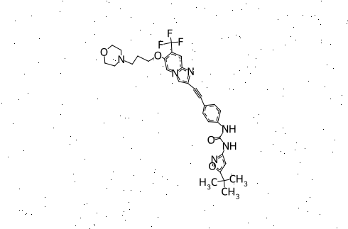 CC(C)(C)c1cc(NC(=O)Nc2ccc(C#Cc3cn4cc(OCCCN5CCOCC5)c(C(F)(F)F)cc4n3)cc2)no1